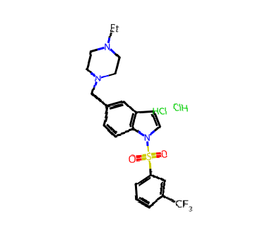 CCN1CCN(Cc2ccc3c(ccn3S(=O)(=O)c3cccc(C(F)(F)F)c3)c2)CC1.Cl.Cl